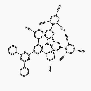 N#Cc1cccc(-c2cc(-c3nc(-c4ccccc4)cc(-c4ccccc4)n3)cc(-c3cccc(C#N)c3)c2-n2c3ccc(-c4c(C#N)cc(C#N)cc4C#N)cc3c3cc(-c4c(C#N)cc(C#N)cc4C#N)ccc32)c1